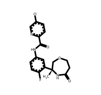 C[C@@]1(c2cc(NC(=O)c3ccc(Cl)cn3)ccc2F)COCCC(=O)N1